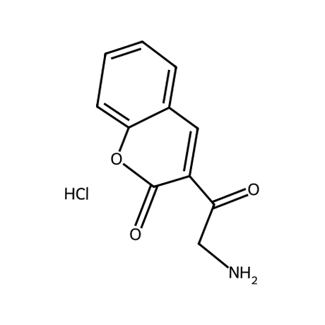 Cl.NCC(=O)c1cc2ccccc2oc1=O